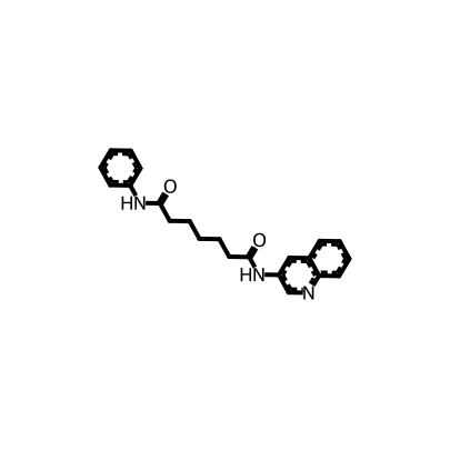 O=C(CCCCCC(=O)Nc1cnc2ccccc2c1)Nc1ccccc1